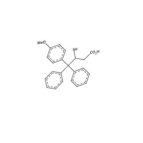 COc1ccc(C(c2ccccc2)(c2ccccc2)C(S)CC(=O)O)cc1